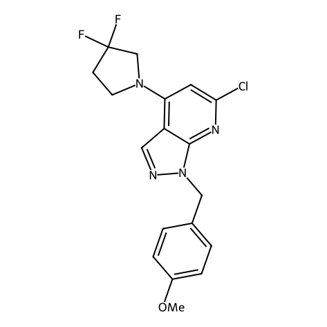 COc1ccc(Cn2ncc3c(N4CCC(F)(F)C4)cc(Cl)nc32)cc1